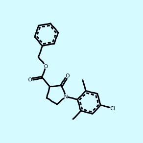 Cc1cc(Cl)cc(C)c1N1CCC(C(=O)OCc2ccccc2)C1=O